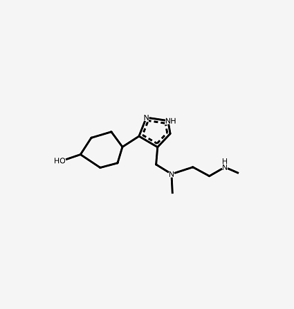 CNCCN(C)Cc1c[nH]nc1C1CCC(O)CC1